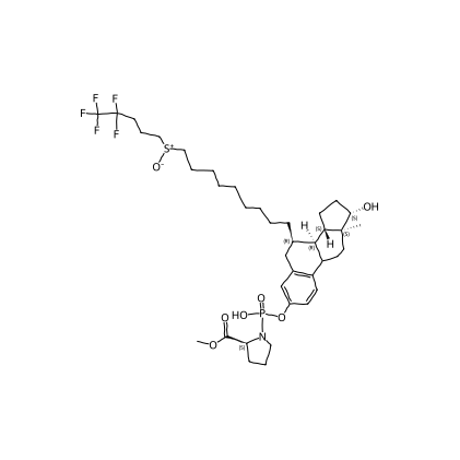 COC(=O)[C@@H]1CCCN1P(=O)(O)Oc1ccc2c(c1)C[C@@H](CCCCCCCCC[S+]([O-])CCCC(F)(F)C(F)(F)F)[C@@H]1C2CC[C@]2(C)[C@@H](O)CC[C@@H]12